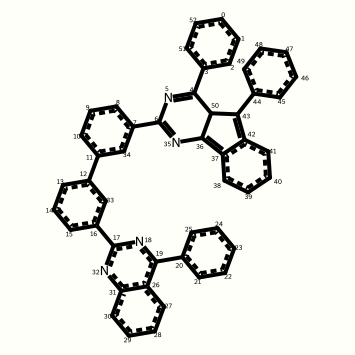 c1ccc(C2=NC(c3cccc(-c4cccc(-c5nc(-c6ccccc6)c6ccccc6n5)c4)c3)=NC3=c4ccccc4=C(c4ccccc4)C23)cc1